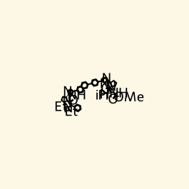 CCN(CC)C(C(=O)N1CCC[C@H]1c1ncc(-c2ccc3cc(-c4ccc(-c5cnc(C6CCCN6C(=O)[C@@H](NC(=O)OC)C(C)C)[nH]5)cc4)ccc3c2)[nH]1)c1ccccc1